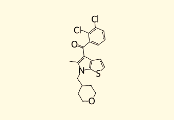 Cc1c(C(=O)c2cccc(Cl)c2Cl)c2ccsc2n1CC1CCOCC1